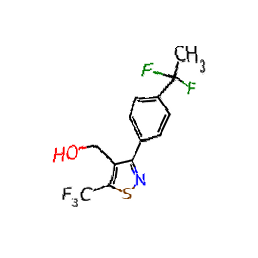 CC(F)(F)c1ccc(-c2nsc(C(F)(F)F)c2CO)cc1